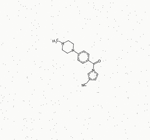 CN1CCN(c2ccc(C(=O)n3ccc(C#N)c3)cc2)CC1